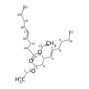 CCOC(CCC=CCCCI)OC(CCC=CCCCI)OCC